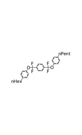 CCCCCCc1ccc(OC(F)(F)c2ccc(C(F)(F)Oc3ccc(CCCCC)cc3)cc2)cc1